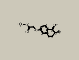 COC(=O)COc1ccc2c(c1)CCC(Br)C2=O